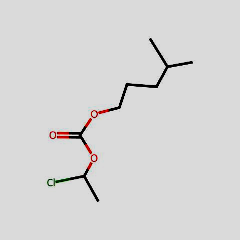 CC(C)CCCOC(=O)OC(C)Cl